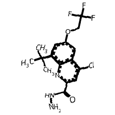 CC(C)(C)c1cc(OCC(F)(F)F)cc2c(Cl)cc(C(=O)NN)nc12